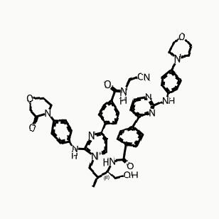 CC(C[n+]1ccc(-c2ccc(C(=O)NCC#N)cc2)nc1Nc1ccc(N2CCOCC2=O)cc1)[C@H](CO)NC(=O)c1ccc(-c2ccnc(Nc3ccc(N4CCOCC4)cc3)n2)cc1